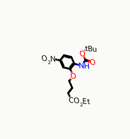 CCOC(=O)CCCOc1cc([N+](=O)[O-])ccc1NC(=O)OC(C)(C)C